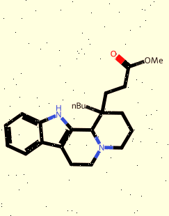 CCCCC1(CCC(=O)OC)CCCN2CCc3c([nH]c4ccccc34)C21